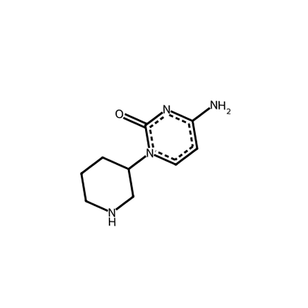 Nc1ccn(C2CCCNC2)c(=O)n1